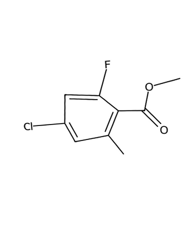 COC(=O)c1c(C)cc(Cl)cc1F